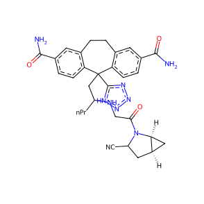 CCCC(CC1(c2nnn[nH]2)c2ccc(C(N)=O)cc2CCc2cc(C(N)=O)ccc21)NCC(=O)N1C(C#N)C[C@@H]2C[C@@H]21